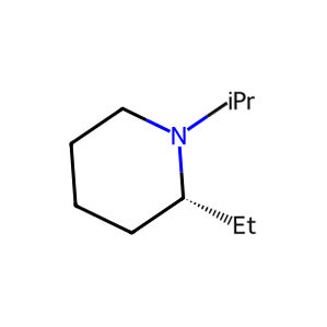 CC[C@@H]1CCCCN1C(C)C